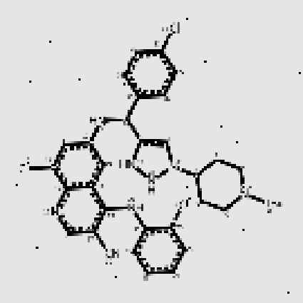 CC(C)(C)N1CCC(N2C=C([C@@H](Nc3cc(Cl)c4ncc(C#N)c(Nc5ccccc5Cl)c4c3)c3ccc(Cl)cc3)NN2)CC1